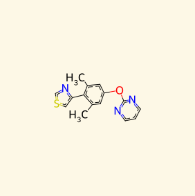 Cc1cc(Oc2ncccn2)cc(C)c1-c1cscn1